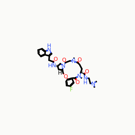 CN(C)CCNC(=O)[C@@H]1CCC(=O)N(C)CC(=O)N2C[C@@H](NC(=O)Cc3c[nH]c4ccccc34)C[C@H]2COc2ccc(F)cc2C(=O)N1C